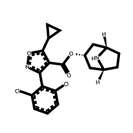 O=C(O[C@H]1C[C@H]2CC[C@@H](C1)N2)c1c(-c2c(Cl)cccc2Cl)noc1C1CC1